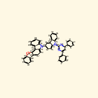 c1ccc(-c2cc(-c3ccccc3)nc(-n3c4ccccc4c4cc(-n5c6ccccc6c6c7oc8ccccc8c7ccc65)ccc43)n2)cc1